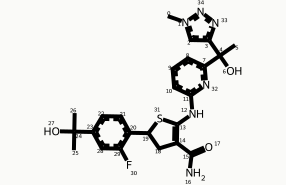 Cn1cc(C(C)(O)c2cccc(NC3=C(C(N)=O)CC(c4ccc(C(C)(C)O)cc4F)S3)n2)nn1